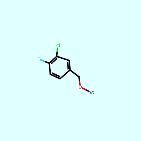 CCOCc1ccc(F)c(Cl)c1